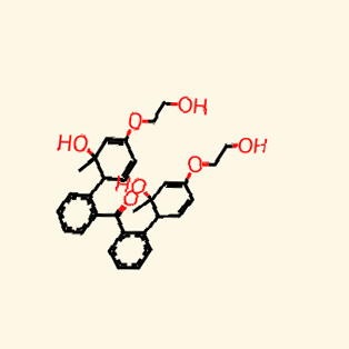 CC1(O)C=C(OCCO)C=CC1c1ccccc1C(=O)c1ccccc1C1C=CC(OCCO)=CC1(C)O